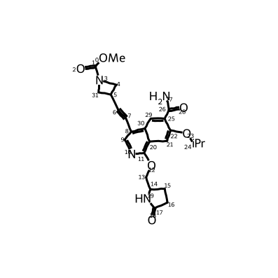 COC(=O)N1CC(C#Cc2cnc(OCC3CCC(=O)N3)c3cc(OC(C)C)c(C(N)=O)cc23)C1